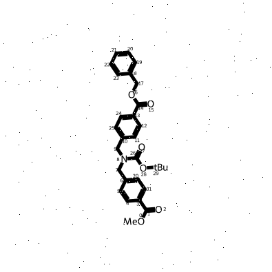 COC(=O)c1ccc(CN(Cc2ccc(C(=O)OCc3ccccc3)cc2)C(=O)OC(C)(C)C)cc1